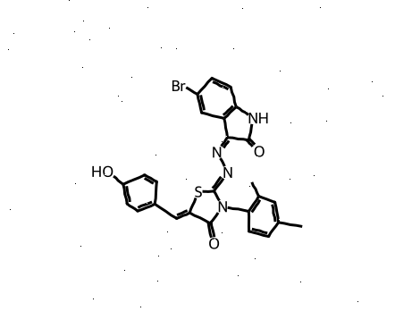 Cc1ccc(N2C(=O)C(=Cc3ccc(O)cc3)SC2=NN=C2C(=O)Nc3ccc(Br)cc32)c(C)c1